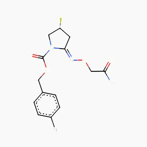 NC(=O)CON=C1C[C@H](S)CN1C(=O)OCc1ccc([N+](=O)[O-])cc1